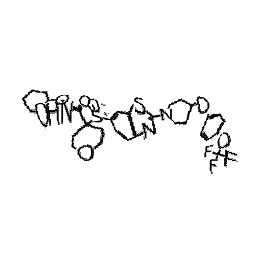 O=C(NOC1CCCCO1)C1([S+]([O-])c2ccc3nc(N4CCC(Oc5ccc(OC(F)(F)F)cc5)CC4)sc3c2)CCOCC1